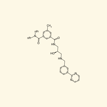 CCCN(CCC)C(=O)c1cc(C)cc(C(=O)NC[C@H](O)CNCc2cccc(-c3ncccn3)c2)c1